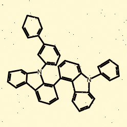 C1=CC(c2cccc(-n3c4ccccc4c4cccc(-c5cccc6c5c5ccccc5n6-c5ccccc5)c43)c2)=CCC1